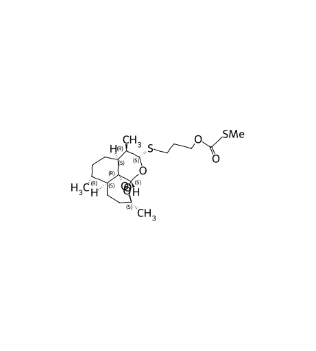 CSC(=O)OCCCS[C@@H]1O[C@@H]2O[C@]3(C)CC[C@H]4[C@H](C)CC[C@@H]([C@H]1C)[C@@]24OO3